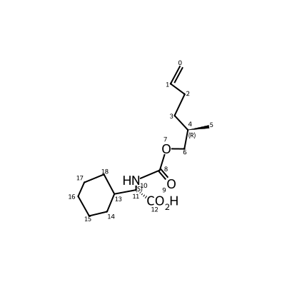 C=CCC[C@@H](C)COC(=O)N[C@H](C(=O)O)C1CCCCC1